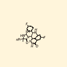 CCCC1(C)NC(S)N(C2c3n[nH]c(=O)c4cc(F)cc(c34)NC2c2ccc(F)cc2)C1=O